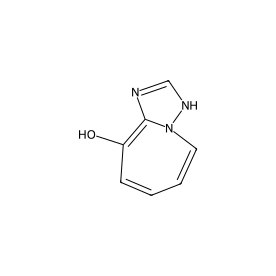 OC1=C2N=CNN2C=CC=C1